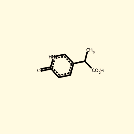 CC(C(=O)O)c1ccc(=O)[nH]c1